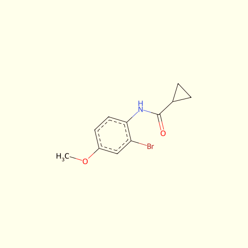 COc1ccc(NC(=O)C2CC2)c(Br)c1